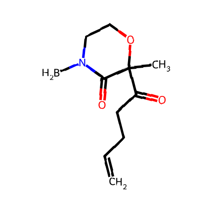 BN1CCOC(C)(C(=O)CCC=C)C1=O